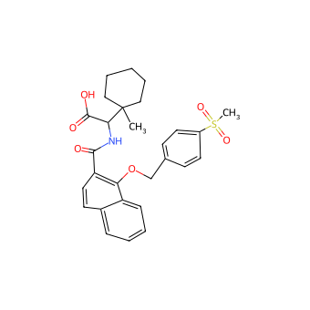 CC1(C(NC(=O)c2ccc3ccccc3c2OCc2ccc(S(C)(=O)=O)cc2)C(=O)O)CCCCC1